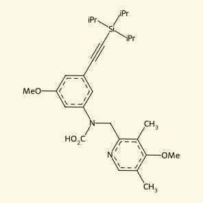 COc1cc(C#C[Si](C(C)C)(C(C)C)C(C)C)cc(N(Cc2ncc(C)c(OC)c2C)C(=O)O)c1